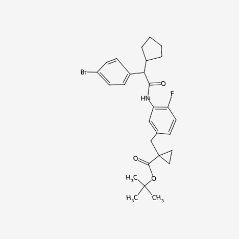 CC(C)(C)OC(=O)C1(Cc2ccc(F)c(NC(=O)C(c3ccc(Br)cc3)C3CCCC3)c2)CC1